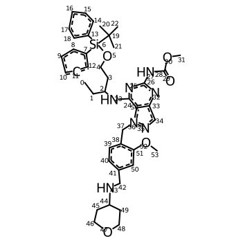 CCC(CCO[Si](c1ccccc1)(c1ccccc1)C(C)(C)C)Nc1nc(NC(=O)OC)nc2cnn(Cc3ccc(CNC4CCOCC4)cc3OC)c12